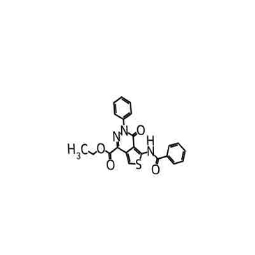 CCOC(=O)c1nn(-c2ccccc2)c(=O)c2c(NC(=O)c3ccccc3)scc12